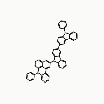 c1ccc(N2c3cncnc3-c3cc(-n4c5ccccc5c5cc(-c6ccc7c(c6)c6ccccc6n7-c6ccccc6)ccc54)cc4cccc2c34)cc1